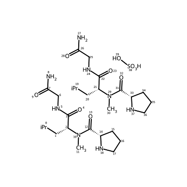 CC(C)C[C@H](C(=O)NCC(N)=O)N(C)C(=O)[C@@H]1CCCN1.CC(C)C[C@H](C(=O)NCC(N)=O)N(C)C(=O)[C@@H]1CCCN1.O=S(=O)(O)O